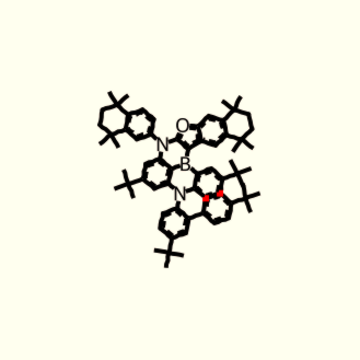 CC(C)(C)c1ccc(-c2cc(C(C)(C)C)ccc2N2c3ccc(C(C)(C)C)cc3B3c4c2cc(C(C)(C)C)cc4N(c2ccc4c(c2)C(C)(C)CCC4(C)C)c2oc4cc5c(cc4c23)C(C)(C)CCC5(C)C)cc1